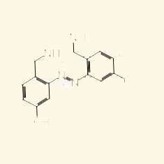 Cc1ccc(CN)c(/N=N/c2cc(C)ccc2CN)c1